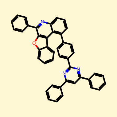 c1ccc(-c2cc(-c3ccccc3)nc(-c3ccc(-c4cccc5nc(-c6ccccc6)c6oc7ccccc7c6c45)cc3)n2)cc1